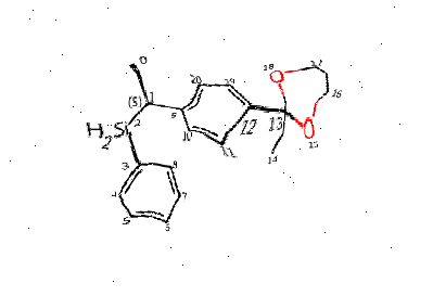 C[C@H]([SiH2]c1ccccc1)c1ccc(C2(C)OCCO2)cc1